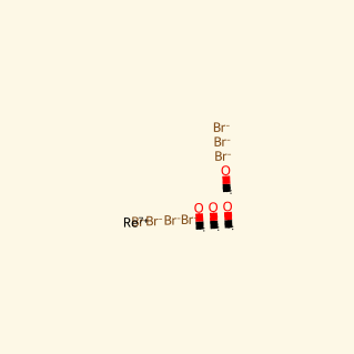 [Br-].[Br-].[Br-].[Br-].[Br-].[Br-].[Br-].[C]=O.[C]=O.[C]=O.[C]=O.[Re+7]